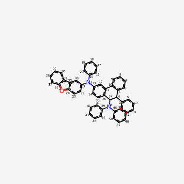 c1ccc(C2c3ccccc3-c3cc(N(c4ccccc4)c4ccc5oc6ccccc6c5c4)ccc3C2N(c2ccccc2)c2ccccc2)cc1